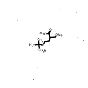 COCC(CCOC(C)(C)C(=O)O)C(=O)OC